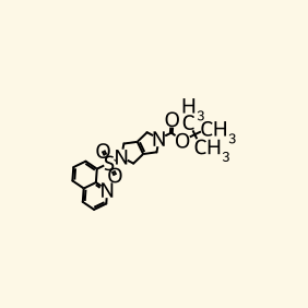 CC(C)(C)OC(=O)N1CC2=C(C1)CN(S(=O)(=O)c1cccc3cccnc13)C2